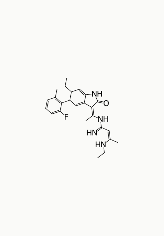 CCN/C(C)=C\C(=N)N/C(C)=C1\C(=O)NC2=CC(CC)C(c3c(C)cccc3F)C=C21